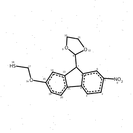 O=[N+]([O-])c1ccc2c(c1)C(C1OCCO1)c1cc(OCS)ccc1-2